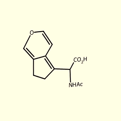 CC(=O)NC(C(=O)O)C1=C2C=COC=C2CC1